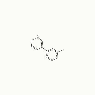 Cc1ccnc(C2=CNCC=C2)c1